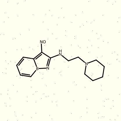 O=NC1=C2C=CC=CB2N=C1NCCN1CCCCC1